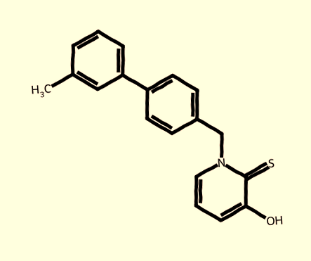 Cc1cccc(-c2ccc(Cn3cccc(O)c3=S)cc2)c1